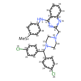 CSc1ccc(Nc2nc(CN3CCN(C(c4ccc(Cl)cc4)c4ccc(Cl)cc4)CC3)nc3ccccc23)cc1